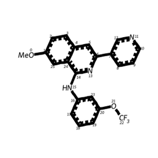 COc1ccc2cc(-c3cccnc3)nc(Nc3cccc(OC(F)(F)F)c3)c2c1